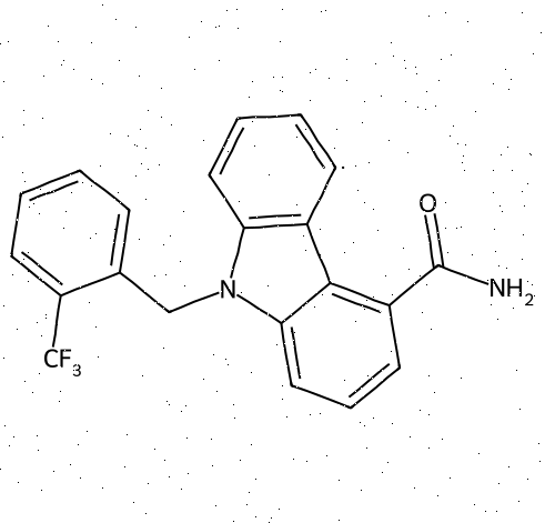 NC(=O)c1cccc2c1c1[c]cccc1n2Cc1ccccc1C(F)(F)F